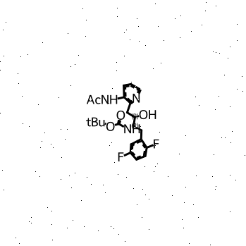 CC(=O)Nc1cccnc1C[C@@H](O)[C@@H](Cc1cc(F)ccc1F)NC(=O)OC(C)(C)C